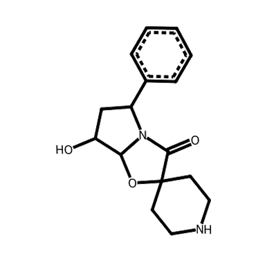 O=C1N2C(c3ccccc3)CC(O)C2OC12CCNCC2